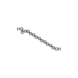 CC(C)(O)C(=O)c1ccc(OCCOCCOCCOCCOCCOCCOCCOCCOCCOCCO)cc1